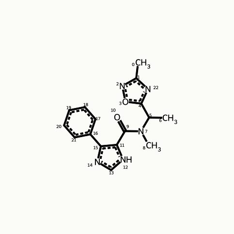 Cc1noc(C(C)N(C)C(=O)c2[nH]cnc2-c2ccccc2)n1